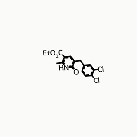 CCOC(=O)c1cc(Cc2ccc(Cl)c(Cl)c2)c(=O)[nH]c1C